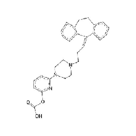 O=C(O)Oc1cccc(N2CCN(CCC=C3c4ccccc4CCc4ccccc43)CC2)n1